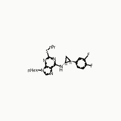 CCCCCCn1cnc2c(N[C@@H]3C[C@H]3c3ccc(F)c(F)c3)nc(SCCC)nc21